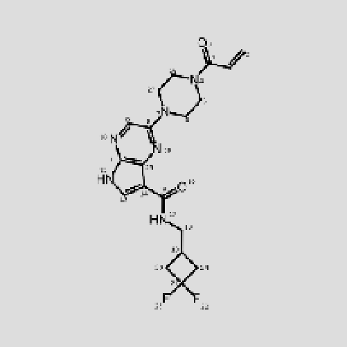 C=CC(=O)N1CCN(c2cnc3[nH]cc(C(=O)NCC4CC(F)(F)C4)c3n2)CC1